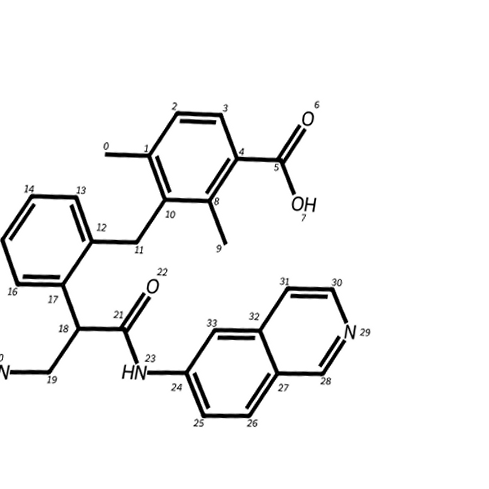 Cc1ccc(C(=O)O)c(C)c1Cc1ccccc1C(CN)C(=O)Nc1ccc2cnccc2c1